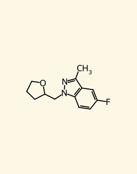 Cc1nn(CC2CCCO2)c2ccc(F)cc12